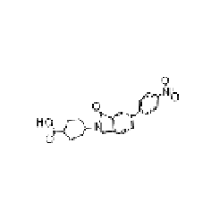 O=C(O)C1CCC(N2Cc3ccc(-c4ccc([N+](=O)[O-])cc4)cc3C2=O)CC1